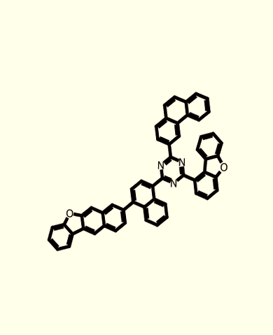 c1ccc2c(c1)ccc1ccc(-c3nc(-c4ccc(-c5ccc6cc7c(cc6c5)oc5ccccc57)c5ccccc45)nc(-c4cccc5oc6ccccc6c45)n3)cc12